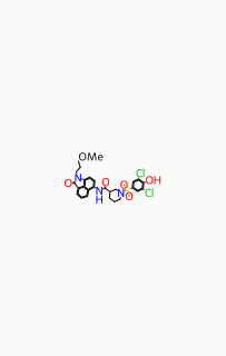 COCCCN1C(=O)c2cccc3c(NC(=O)C4CCCN(S(=O)(=O)c5cc(Cl)c(O)c(Cl)c5)C4)ccc1c23